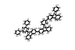 c1ccc(-c2nc(-c3ccccc3)nc(-n3c4ccccc4c4cc(-c5ccc6c7ccccc7n(-c7cccc(-c8ccc9c(c8)c8ncccc8n9-c8ccccc8)n7)c6c5)ccc43)n2)cc1